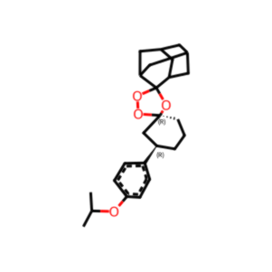 CC(C)Oc1ccc([C@@H]2CCC[C@]3(C2)OOC2(O3)C3CC4CC(C3)CC2C4)cc1